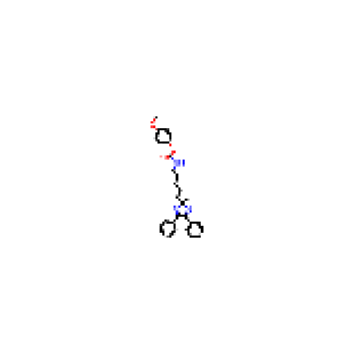 COc1ccc(OC(=O)NCCCCCC2(C)N=C(c3ccccc3)C(c3ccccc3)=N2)cc1